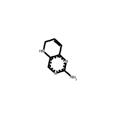 Nc1ncc2c(n1)C=CCN2